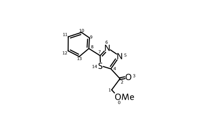 COCC(=O)c1nnc(-c2ccccc2)s1